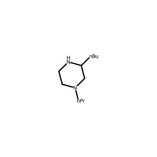 [CH2]CCN1CCNC(CCCC)C1